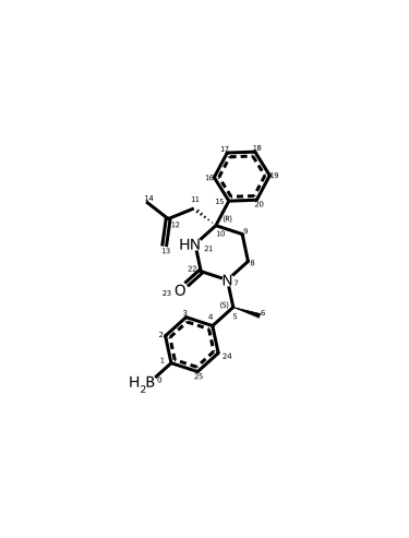 Bc1ccc([C@H](C)N2CC[C@](CC(=C)C)(c3ccccc3)NC2=O)cc1